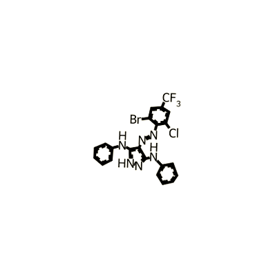 FC(F)(F)c1cc(Cl)c(N=Nc2c(Nc3ccccc3)n[nH]c2Nc2ccccc2)c(Br)c1